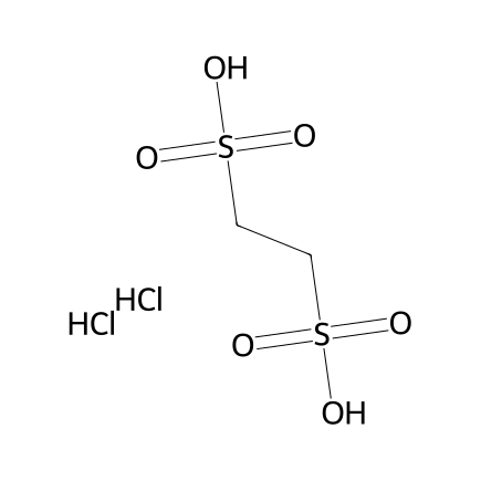 Cl.Cl.O=S(=O)(O)CCS(=O)(=O)O